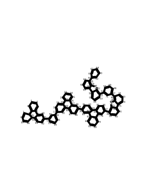 C1=CC2c3ccccc3-c3cc(-c4cccc(-c5ccc6c7ccccc7c7cc(-c8ccc9c%10ccc(-c%11cccc%12c%11sc%11c(-c%13cccc(-c%14cccc%15c%14sc%14c(-c%16ccccc%16)cccc%14%15)c%13)cccc%11%12)cc%10c%10ccccc%10c9c8)ccc7c6c5)c4)ccc3C2C=C1